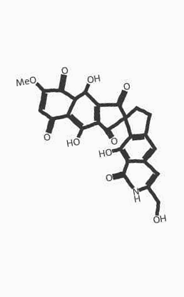 COC1=CC(=O)C2=C(O)C3=C(C(=O)C4(CCc5cc6cc(CO)[nH]c(=O)c6c(O)c54)C3=O)C(O)C2C1=O